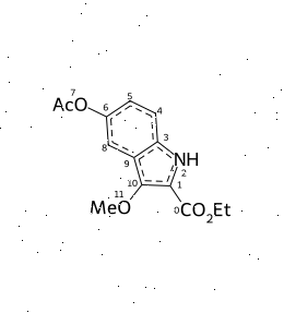 CCOC(=O)c1[nH]c2ccc(OC(C)=O)cc2c1OC